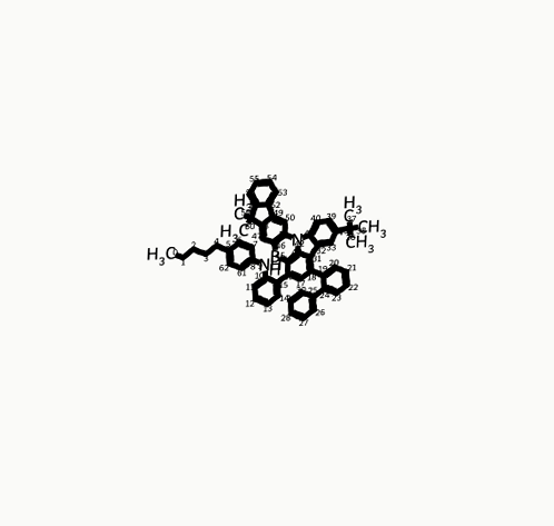 CCCCCc1ccc(Nc2ccccc2-c2cc(-c3ccccc3-c3ccccc3)c3c4cc(C(C)(C)C)ccc4n4c3c2Bc2cc3c(cc2-4)-c2ccccc2C3(C)C)cc1